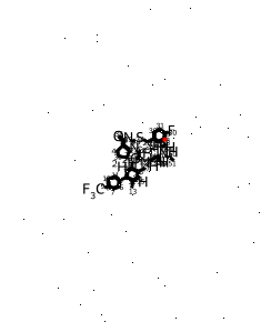 [2H]c1c([2H])c(-c2ccc(C(F)(F)F)cc2)c(C)c([2H])c1CN(C(=O)Cn1c(SCc2ccc(F)cc2)nc(=O)c2c1CCC2)C([2H])([2H])C([2H])([2H])N(C([2H])([2H])C)C([2H])([2H])C